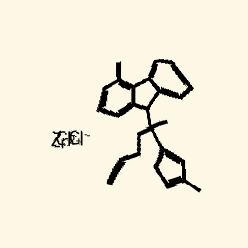 C=CCCC(C)(C1=CC(C)=CC1)C1c2ccccc2-c2c(C)cccc21.[Cl-].[Cl-].[Zr+2]